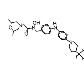 CC1CN(CC(=O)N(O)Cc2ccc(Nc3ccc(N4CCC(C(F)(F)F)CC4)cc3)cc2)CC(C)O1